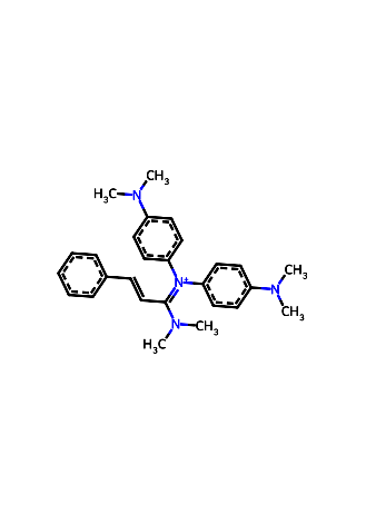 CN(C)C(C=Cc1ccccc1)=[N+](c1ccc(N(C)C)cc1)c1ccc(N(C)C)cc1